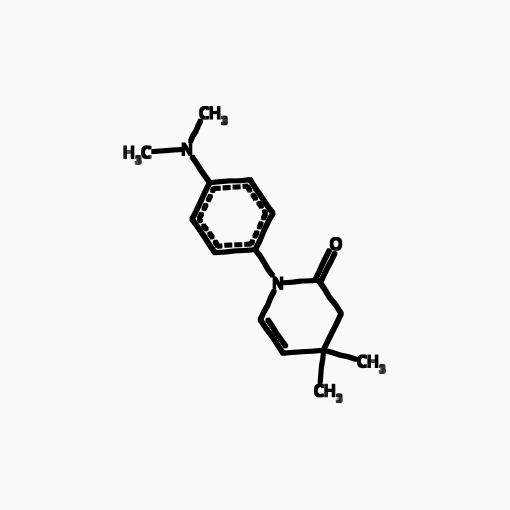 CN(C)c1ccc(N2C=CC(C)(C)CC2=O)cc1